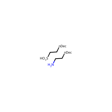 CCCCCCCCCCCCN.CCCCCCCCCCCCS(=O)(=O)O